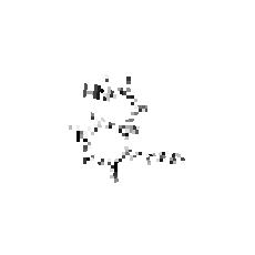 C#Cc1ncnc2[nH]ccc12